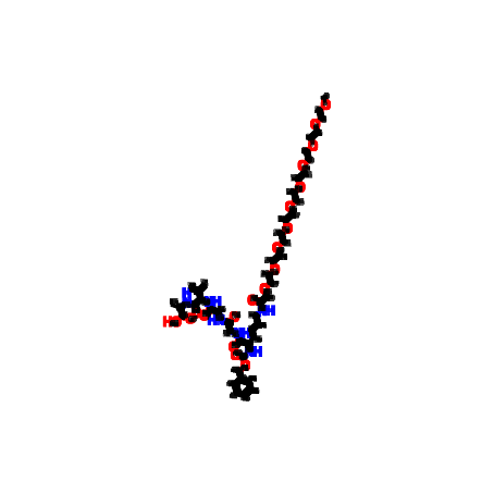 COCCOCCOCCOCCOCCOCCOCCOCCOCCOCC(=O)NCCCC[C@H](NC(=O)OCc1ccccc1)C(=O)NCC(=O)NCC(=O)N[C@H](C(=O)N[C@@H](C)C(=O)O)C(C)C